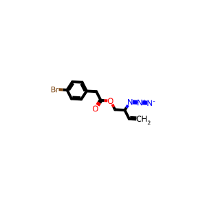 C=CC(COC(=O)Cc1ccc(Br)cc1)N=[N+]=[N-]